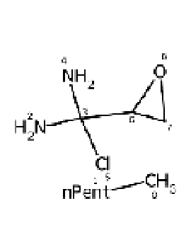 CCCCCC.NC(N)(Cl)C1CO1